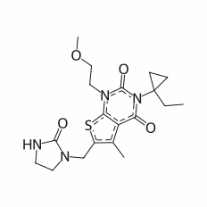 CCC1(n2c(=O)c3c(C)c(CN4CCNC4=O)sc3n(CCOC)c2=O)CC1